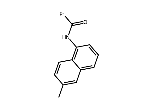 Cc1ccc2c(NC(=O)C(C)C)cccc2c1